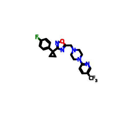 Fc1ccc(C2(c3noc(CN4CCN(c5ccc(C(F)(F)F)cn5)CC4)n3)CC2)cc1